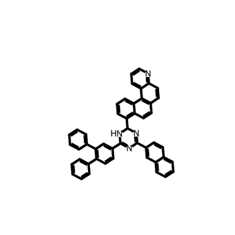 c1ccc(-c2ccc(C3=NC(c4ccc5ccccc5c4)=NC(c4cccc5c4ccc4ccc6ncccc6c45)N3)cc2-c2ccccc2)cc1